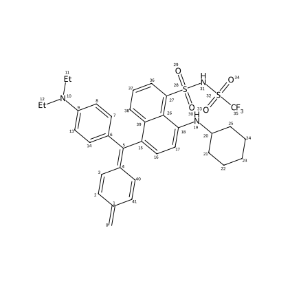 C=c1ccc(=C(c2ccc(N(CC)CC)cc2)c2ccc(NC3CCCCC3)c3c(S(=O)(=O)NS(=O)(=O)C(F)(F)F)cccc23)cc1